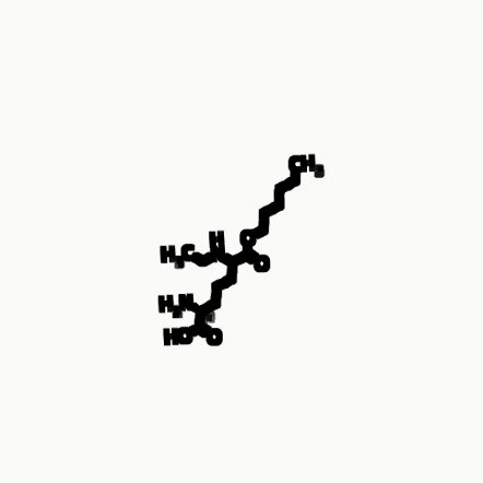 CCCCCCOC(=O)C(CCC[C@H](N)C(=O)O)NCC